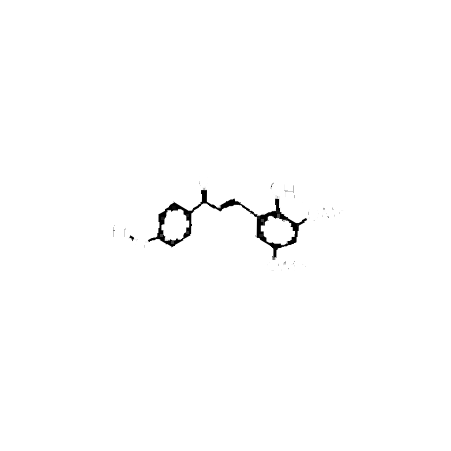 CCOc1ccc(C(=O)C=Cc2cc(OC)cc(OC)c2C)cc1